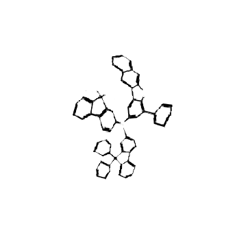 CC1(C)C2=C(C=CC(N(c3ccc4c(c3)C(c3ccccc3)(c3ccccc3)c3ccccc3-4)c3cc(-c4ccccc4)c4oc5cc6ccccc6cc5c4c3)C2)c2ccccc21